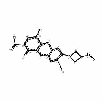 CNC1CN(c2cc3nc4c(cc3cc2F)c(=O)c(C(=O)O)cn4C)C1